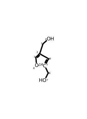 OCc1co[14c](CO)c1